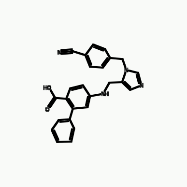 N#Cc1ccc(Cn2cncc2CNc2ccc(C(=O)O)c(-c3ccccc3)c2)cc1